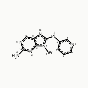 CC(C)n1c(Nc2cccnc2)nc2cnc(N)nc21